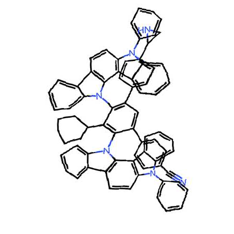 N#Cc1ccc(-c2cc(-c3ccc(C4CN4)cc3)c(-n3c4ccccc4c4ccc5c(c6ccccc6n5-c5ccccc5)c43)c(C3CCCCC3)c2-n2c3ccccc3c3ccc4c(c5ccccc5n4-c4ccccc4)c32)cc1